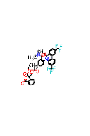 CCOC(=O)C1(COC(=O)Cc2ccc(NC(=O)c3ccc(C(F)(F)F)cc3-c3ccc(C(F)(F)F)cc3)c(C(=O)N(C)C)c2)OC(=O)c2ccccc21